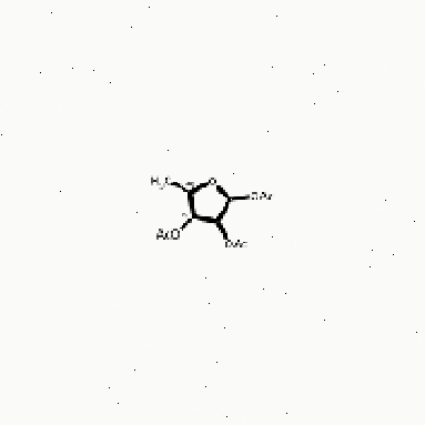 CC(=O)OC1O[C@H](C)[C@H](OC(C)=O)C1OC(C)=O